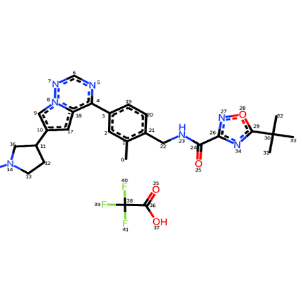 Cc1cc(-c2ncnn3cc(C4CCN(C)C4)cc23)ccc1CNC(=O)c1noc(C(C)(C)C)n1.O=C(O)C(F)(F)F